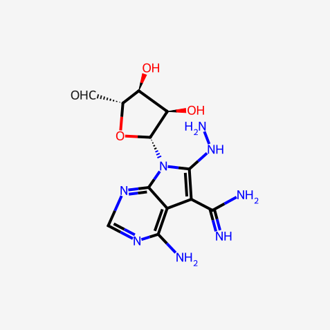 N=C(N)c1c(NN)n([C@@H]2O[C@H](C=O)[C@@H](O)[C@H]2O)c2ncnc(N)c12